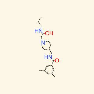 CCCNC(O)CN1CCC(CNC(=O)c2cc(C)cc(C)c2)CC1